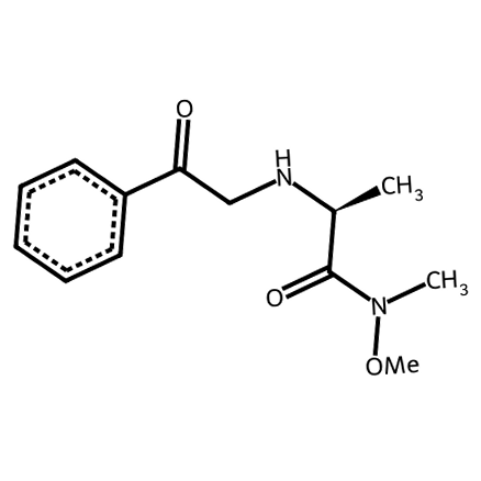 CON(C)C(=O)[C@H](C)NCC(=O)c1ccccc1